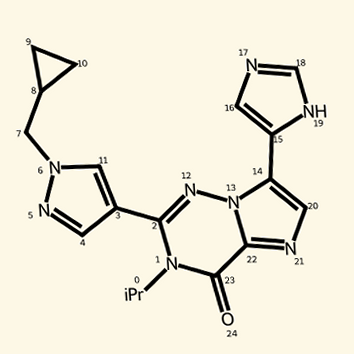 CC(C)n1c(-c2cnn(CC3CC3)c2)nn2c(-c3cnc[nH]3)cnc2c1=O